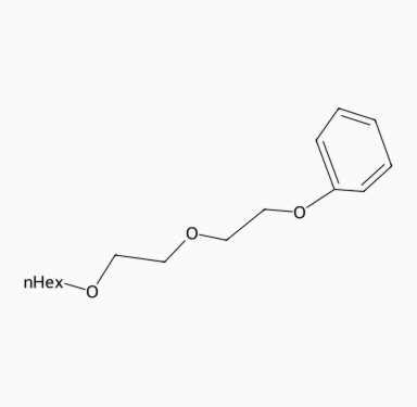 CCCCCCOCCOCCOc1ccccc1